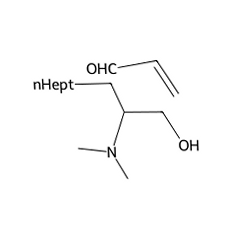 C=CC=O.CCCCCCCCC(CO)N(C)C